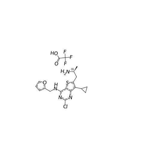 C[C@H](N)Cc1sc2c(NCc3ccco3)nc(Cl)nc2c1C1CC1.O=C(O)C(F)(F)F